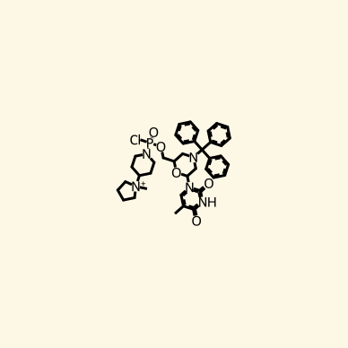 Cc1cn(C2CN(C(c3ccccc3)(c3ccccc3)c3ccccc3)CC(COP(=O)(Cl)N3CCC([N+]4(C)CCCC4)CC3)O2)c(=O)[nH]c1=O